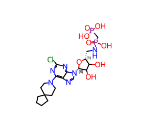 O=P(O)(O)CP(=O)(O)NC[C@H]1O[C@@H](n2cnc3c(N4CCC5(CCCC5)CC4)nc(Cl)nc32)C(O)C1O